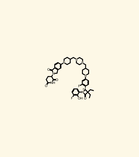 CCC1(CC)C(=O)N(c2cccc(F)c2O)[C@H]1c1ccc(N2CCC(CN3CCN(CC4CCN(c5ccc6c(c5)CN(C5CCC(=O)NC5=O)C6=O)CC4)CC3)CC2)cc1F